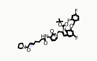 CC(C)(C)OC(=O)n1c(Cn2cccc(NC(=O)CCC/C=C/C(=O)N3CCCC3)c2=O)cc2cc(F)cc(OCc3ccc(F)cc3F)c21